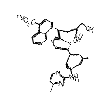 Cc1cc(Nc2nccc(C)n2)cc(-c2cnc(C(CC(O)CO)c3ccc(C(=O)O)c4ccccc34)s2)c1